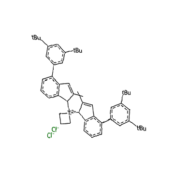 CC1=Cc2c(-c3cc(C(C)(C)C)cc(C(C)(C)C)c3)cccc2[CH]1[Ti+2]1([CH]2C(C)=Cc3c(-c4cc(C(C)(C)C)cc(C(C)(C)C)c4)cccc32)[CH2]C[CH2]1.[Cl-].[Cl-]